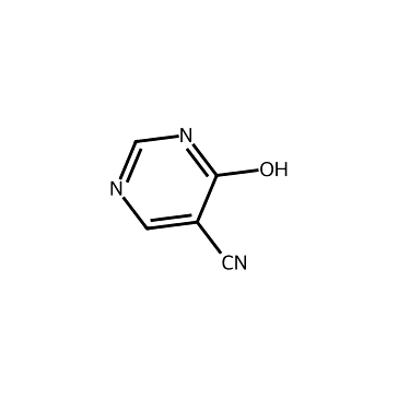 N#Cc1cncnc1O